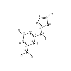 Cc1ccc(N(C)C2=NC(C)N=C(N(C)C)N2)s1